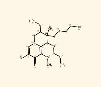 COCOC1c2c(OC)c(=O)c(Br)cn2CC(OC)C1(C)COCCO